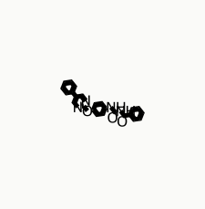 O=C(NC(=O)c1ccccc1)Nc1ccc(Oc2ncc(-c3ccccc3)cn2)cc1